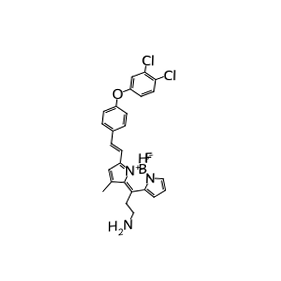 CC1=CC(/C=C/c2ccc(Oc3ccc(Cl)c(Cl)c3)cc2)=[N+]2[BH-](F)n3cccc3C(CCN)=C12